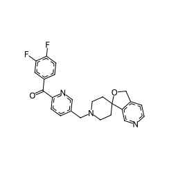 O=C(c1ccc(F)c(F)c1)c1ccc(CN2CCC3(CC2)OCc2ccncc23)cn1